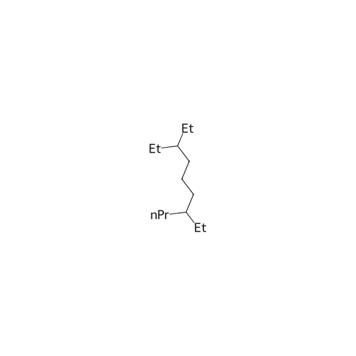 [CH2]CC(CC)CCCC(CC)CCC